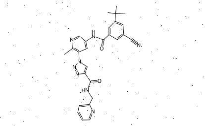 Cc1ncc(NC(=O)c2cc(C#N)cc(C(C)(C)C)c2)cc1-n1cc(C(=O)NCc2ccccn2)nn1